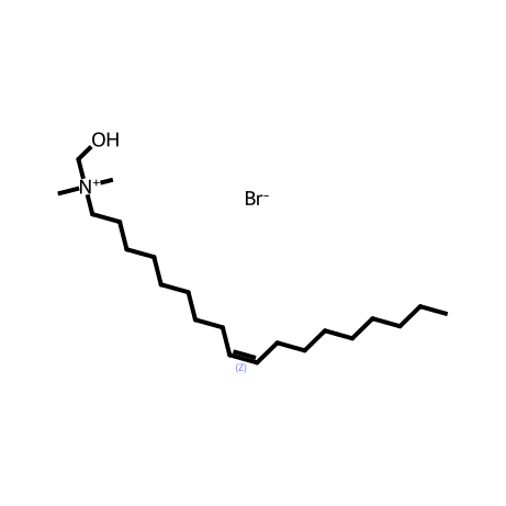 CCCCCCCC/C=C\CCCCCCCC[N+](C)(C)CO.[Br-]